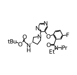 CCN(C(=O)c1cc(F)ccc1Oc1cncnc1N1CC[C@H](NC(=O)OC(C)(C)C)C1)C(C)C